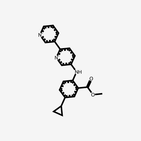 COC(=O)c1cc(C2CC2)ccc1Nc1ccc(-c2cccnc2)nc1